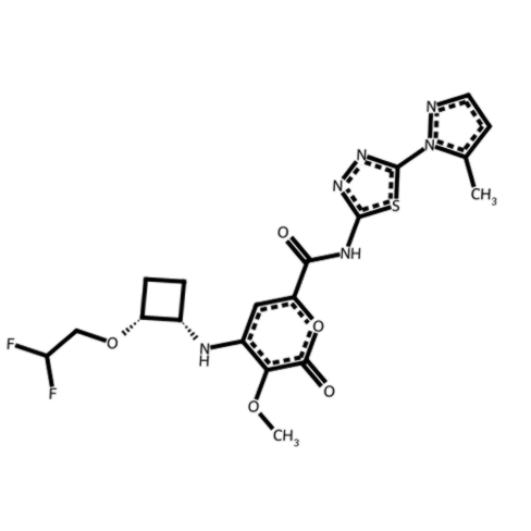 COc1c(N[C@H]2CC[C@H]2OCC(F)F)cc(C(=O)Nc2nnc(-n3nccc3C)s2)oc1=O